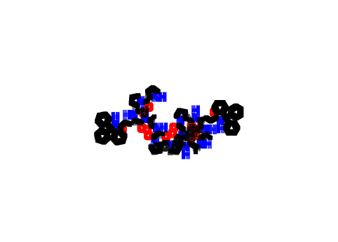 CC[C@H](C)[C@H](NC(=O)[C@@H]1CCCN1C(=O)[C@H]1CCCN1C(=O)[C@H](C)NC(=O)[C@H](C)NC(=O)[C@H](CCC(=O)NC(c1ccccc1)(c1ccccc1)c1ccccc1)NC(=O)[C@@H]1CCCN1C(=O)[C@H]1CCCN1)C(=O)N1CCC[C@H]1C(=O)N[C@@H](CCC(=O)NC(c1ccccc1)(c1ccccc1)c1ccccc1)C(=O)N[C@@H](C)C(=O)N[C@@H](C)C(=O)N[C@@H](CC(C)C)C(=O)O